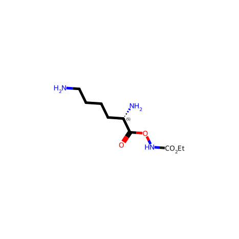 CCOC(=O)NOC(=O)[C@@H](N)CCCCN